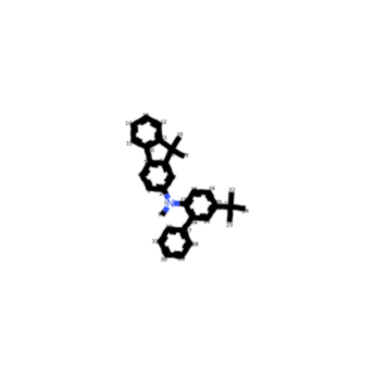 CN(c1ccc2c(c1)C(C)(C)c1ccccc1-2)c1ccc(C(C)(C)C)cc1-c1ccccc1